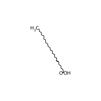 CCCCCCCCCCCCCCCCCCC=CCCCCC(=O)O